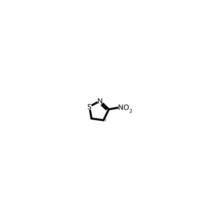 O=[N+]([O-])C1=NSC[C]1